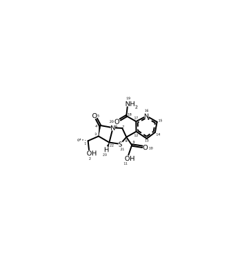 C[C@@H](O)[C@H]1C(=O)N2CC(C(=O)O)(c3cccnc3C(N)=O)S[C@H]12